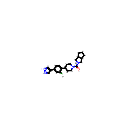 O=C(N1CCC(c2ccc(-c3cn[nH]c3)cc2F)CC1)N1CC2CCCC2C1